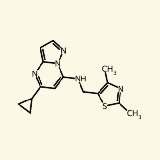 Cc1nc(C)c(CNc2cc(C3CC3)nc3ccnn23)s1